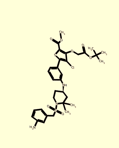 COC(=O)c1sc(-c2cccc(N[C@@H]3CCN(S(=O)(=O)Cc4cccc(N)c4)C(C)(C)C3)c2)c(Cl)c1OCC(=O)OC(C)(C)C